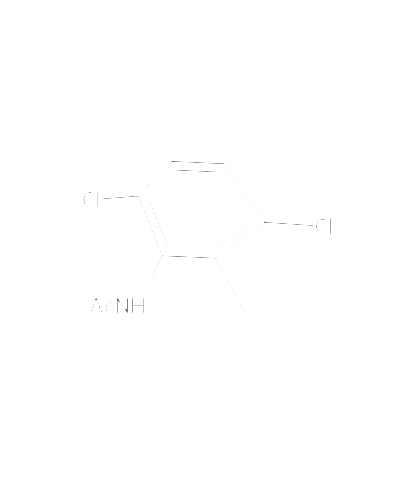 CC(=O)Nc1c(Cl)ccc(Cl)c1C